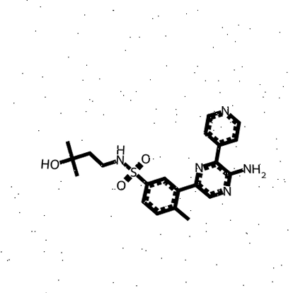 Cc1ccc(S(=O)(=O)NCCC(C)(C)O)cc1-c1cnc(N)c(-c2ccncc2)n1